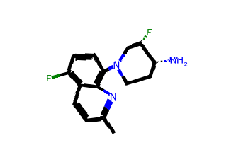 Cc1ccc2c(F)ccc(N3CC[C@@H](N)[C@@H](F)C3)c2n1